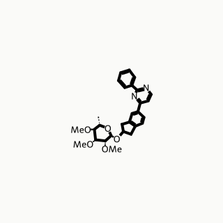 CO[C@@H]1[C@@H](OC)[C@H](C)O[C@@H](OC2Cc3ccc(-c4ccnc(-c5ccccc5)n4)cc3C2)[C@@H]1OC